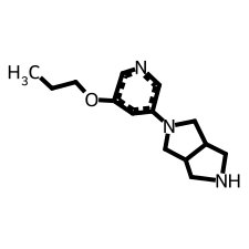 CCCOc1cncc(N2CC3CNCC3C2)c1